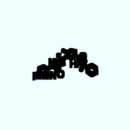 CNC(=O)c1c(-c2ccc(F)cc2)nc2sc(-c3cc(C(=O)NC(C)(C)c4ccccc4)ccc3C)cn12